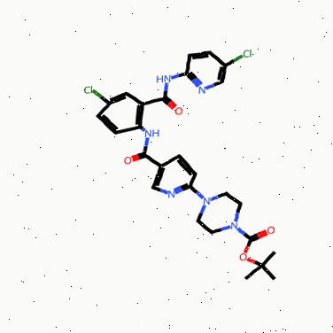 CC(C)(C)OC(=O)N1CCN(c2ccc(C(=O)Nc3ccc(Cl)cc3C(=O)Nc3ccc(Cl)cn3)cn2)CC1